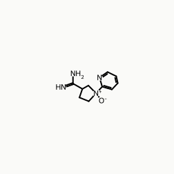 N=C(N)C1CC[N+]([O-])(c2ccccn2)C1